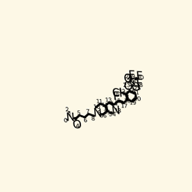 CN(C)C(=O)CCCCN1CCc2cc(/C(F)=C/c3cccc(OS(=O)(=O)C(F)(F)F)c3Cl)ncc2C1